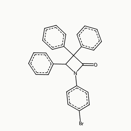 O=C1N(c2ccc(Br)cc2)C(c2ccccc2)C1(c1ccccc1)c1ccccc1